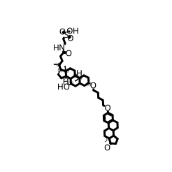 C[C@@H](CCC(=O)NCCS(=O)(=O)O)[C@@H]1CC[C@@H]2C3[C@H](O)CC4C[C@@H](OCCCCCOc5ccc6c(c5)CCC5C6CC[C@]6(C)C(=O)CCC56)CC[C@@]4(C)[C@@H]3CC[C@]21C